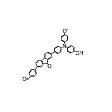 COc1ccc(N(c2ccc(O)cc2)c2ccc(-c3ccc4c(c3)C(=O)c3cc(-c5ccc(C=O)cc5)ccc3-4)cc2)cc1